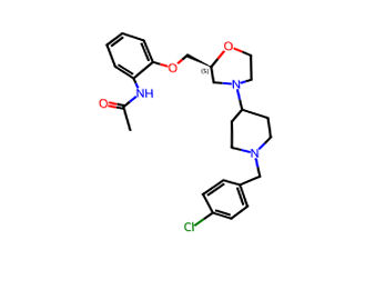 CC(=O)Nc1ccccc1OC[C@@H]1CN(C2CCN(Cc3ccc(Cl)cc3)CC2)CCO1